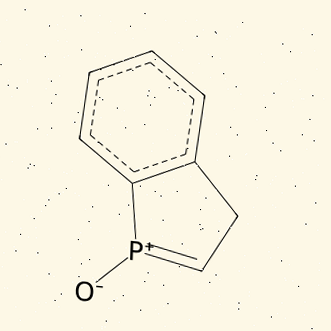 [O-][P+]1=CCc2ccccc21